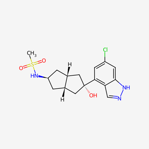 CS(=O)(=O)N[C@H]1C[C@@H]2C[C@@](O)(c3cc(Cl)cc4[nH]ncc34)C[C@@H]2C1